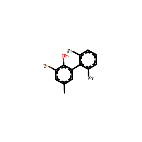 Cc1cc(Br)c(O)c(-c2c(C(C)C)cccc2C(C)C)c1